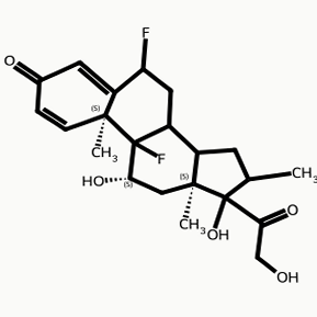 CC1CC2C3CC(F)C4=CC(=O)C=C[C@]4(C)C3(F)[C@@H](O)C[C@]2(C)C1(O)C(=O)CO